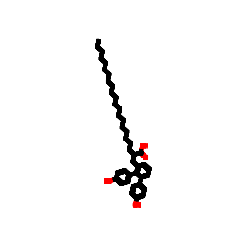 CCCCCCCCCCCCCCCCCCCCC(Cc1cccc(-c2ccc(O)cc2)c1-c1ccc(O)cc1)C(=O)O